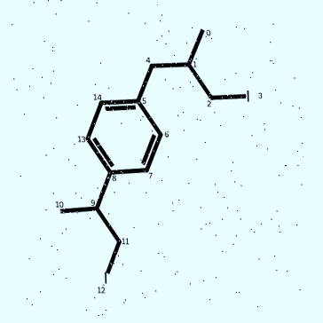 CC(CI)Cc1ccc(C(C)CI)cc1